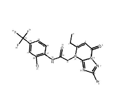 CCc1cc(=O)n2nc(Br)nc2n1CC(=O)Nc1ccc(C(F)(F)F)cc1Cl